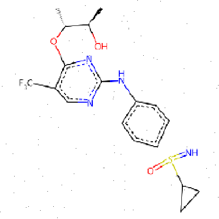 C[C@@H](O)[C@@H](C)Oc1nc(Nc2ccc([S@](=N)(=O)C3CC3)cc2)ncc1C(F)(F)F